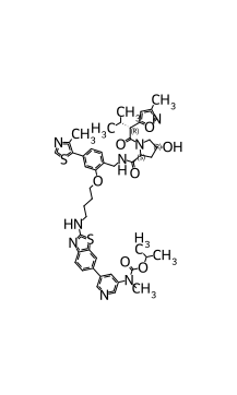 Cc1cc([C@H](C(=O)N2C[C@H](O)C[C@H]2C(=O)NCc2ccc(-c3scnc3C)cc2OCCCCNc2nc3ccc(-c4cncc(N(C)C(=O)OC(C)C)c4)cc3s2)C(C)C)on1